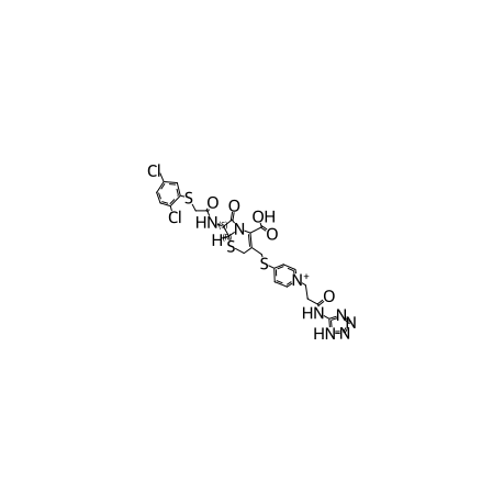 O=C(CC[n+]1ccc(SCC2=C(C(=O)O)N3C(=O)[C@H](NC(=O)CSc4cc(Cl)ccc4Cl)[C@H]3SC2)cc1)Nc1nnn[nH]1